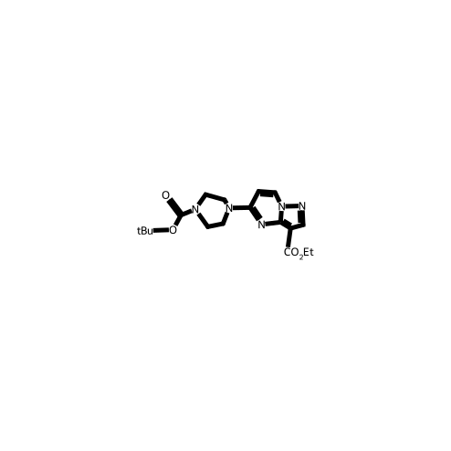 CCOC(=O)c1cnn2ccc(N3CCN(C(=O)OC(C)(C)C)CC3)nc12